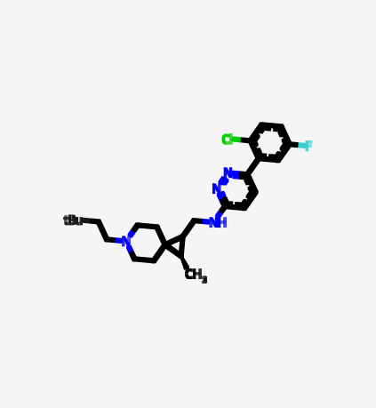 C[C@@H]1C(CNc2ccc(-c3cc(F)ccc3Cl)nn2)C12CCN(CCC(C)(C)C)CC2